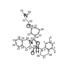 Cc1cc(C)c2c(c1)C(NC(=O)C1Cc3ccccc3CN1C(=O)c1cccc(OCCN(C)C)c1)CCC2